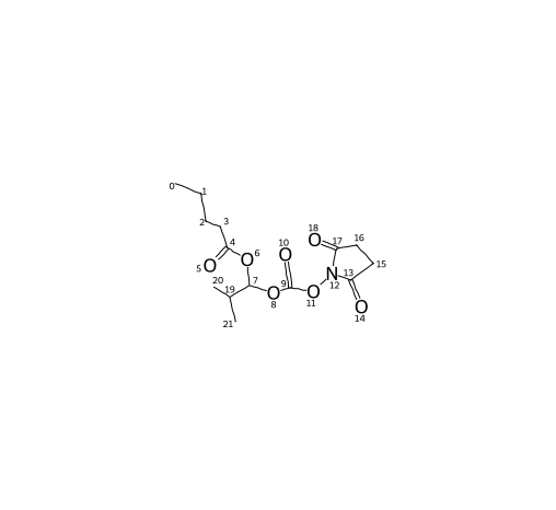 CCCCC(=O)OC(OC(=O)ON1C(=O)CCC1=O)C(C)C